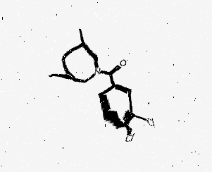 CC1CC(C)CN(C(=O)c2ccc(Cl)c(Cl)c2)C1